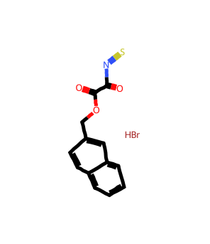 Br.O=C(N=S)C(=O)OCc1ccc2ccccc2c1